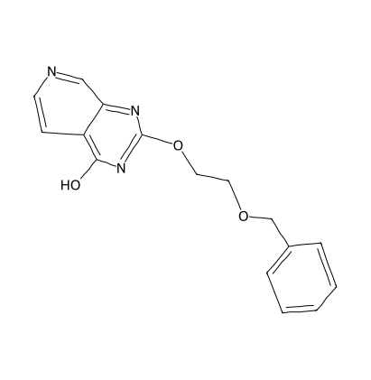 Oc1nc(OCCOCc2ccccc2)nc2cnccc12